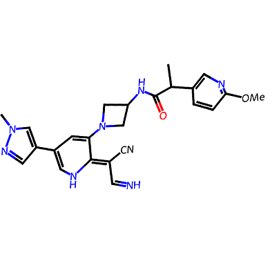 COc1ccc(C(C)C(=O)NC2CN(C3=CC(c4cnn(C)c4)=CN/C3=C(/C#N)C=N)C2)cn1